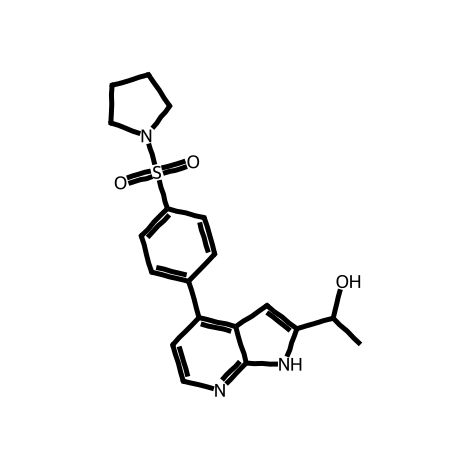 CC(O)c1cc2c(-c3ccc(S(=O)(=O)N4CCCC4)cc3)ccnc2[nH]1